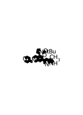 Cc1c[nH]c2ncc(-c3cc4c(c([C@@H]5CCCN5C(=O)OC(C)(C)C)c3)CCN(CC3CCOCC3)C4)cc12